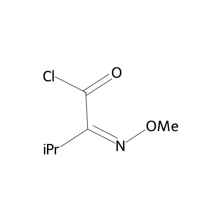 CO/N=C(\C(=O)Cl)C(C)C